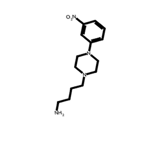 NCCCCN1CCN(c2cccc([N+](=O)[O-])c2)CC1